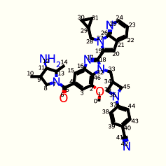 COc1cc(C(=O)N2CC(C)[C@@H](N)C2C)cc2nc(-c3cc4cccnc4n3CC3CC3)n(CC3CN(c4ccc(C#N)cc4)C3)c12